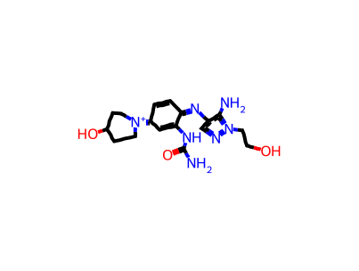 NC(=O)NC1=CC(=[N+]2CCC(O)CC2)C=C/C1=N/c1cnn(CCO)c1N